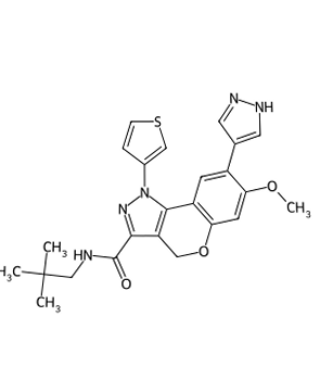 COc1cc2c(cc1-c1cn[nH]c1)-c1c(c(C(=O)NCC(C)(C)C)nn1-c1ccsc1)CO2